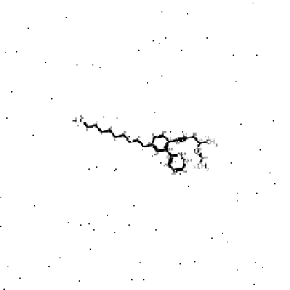 CCCCCCCCCCc1ccc(C#CCC(C)OCC)c(-c2cccnn2)c1